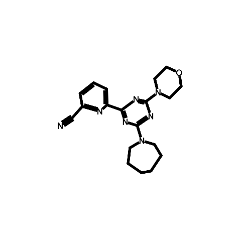 N#Cc1cccc(-c2nc(N3CCCCCC3)nc(N3CCOCC3)n2)n1